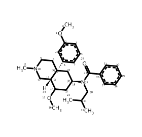 COc1cccc([C@@]23CCN(C)C[C@H]2C(OC)C[C@H](N(CC(C)C)C(=O)c2ccccc2)C3)c1